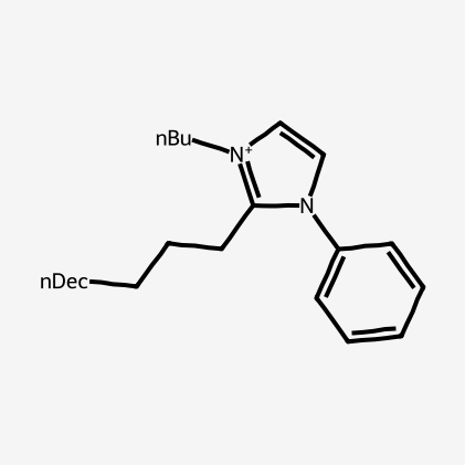 CCCCCCCCCCCCCc1n(-c2ccccc2)cc[n+]1CCCC